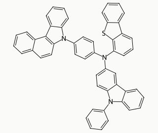 c1ccc(-n2c3ccccc3c3cc(N(c4ccc(-n5c6ccccc6c6c7ccccc7ccc65)cc4)c4cccc5c4sc4ccccc45)ccc32)cc1